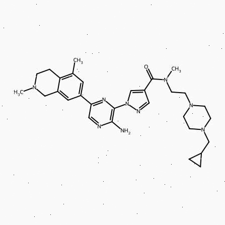 Cc1cc(-c2cnc(N)c(-n3cc(C(=O)N(C)CCN4CCN(CC5CC5)CC4)cn3)n2)cc2c1CCN(C)C2